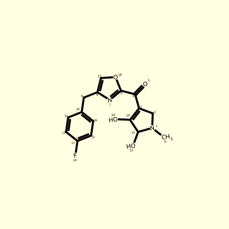 CN1CC(C(=O)c2nc(Cc3ccc(F)cc3)co2)=C(O)C1O